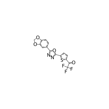 O=C(c1ccc(-c2nnc(-c3ccc4c(c3)OCO4)o2)s1)C(F)(F)F